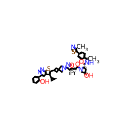 Cc1ncsc1-c1ccc([C@H](C)NC(=O)[C@@H]2C[C@@H](O)CN2C(=O)[C@@H](c2cc(N3CC4(CC(c5sc6nnc(-c7ccccc7O)cc6c5C5CC5)C4)C3)no2)C(C)C)cc1